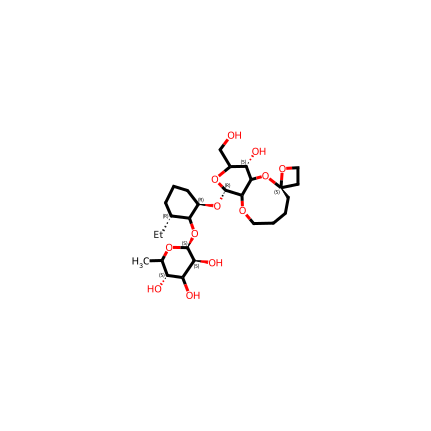 CC[C@@H]1CCC[C@@H](O[C@@H]2OC(CO)[C@H](O)C3O[C@@]4(CCCCOC32)CCO4)C1O[C@@H]1OC(C)[C@@H](O)C(O)[C@@H]1O